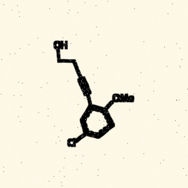 COc1ccc(Cl)cc1C#CCCO